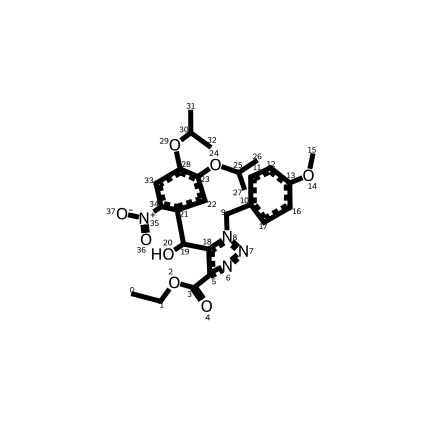 CCOC(=O)c1nnn(Cc2ccc(OC)cc2)c1C(O)c1cc(OC(C)C)c(OC(C)C)cc1[N+](=O)[O-]